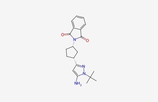 CC(C)(C)n1nc([C@@H]2CC[C@H](N3C(=O)c4ccccc4C3=O)C2)cc1N